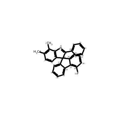 Cc1ccc2c(c1C)N=C(c1ccccc1)C21c2ccccc2-c2c(F)cccc21